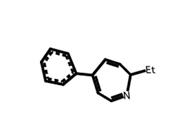 CCC1C=CC(c2ccccc2)=CC=N1